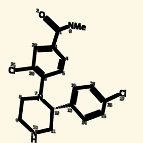 CNC(=O)c1ccc(N2CCNC[C@H]2c2ccc(Cl)cc2)c(Cl)c1